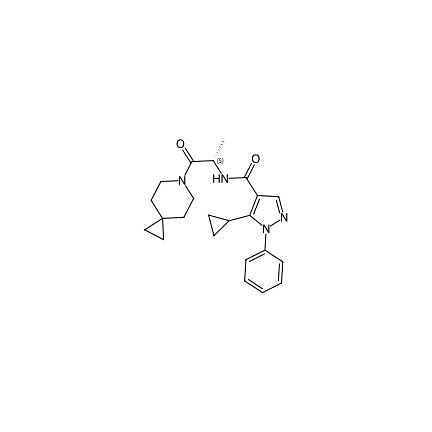 C[C@H](NC(=O)c1cnn(-c2ccccc2)c1C1CC1)C(=O)N1CCC2(CC1)CC2